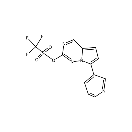 O=S(=O)(Oc1ncc2ccc(-c3cccnc3)n2n1)C(F)(F)F